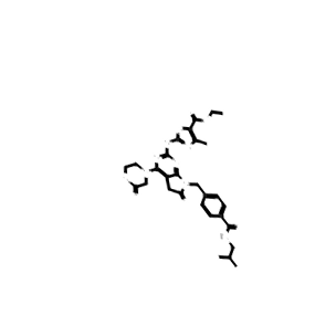 CCOC(=O)c1sc(Nc2nc(N3CCNC(=O)C3)c3c(n2)N(Cc2ccc(C(=O)NCC(C)C)cc2)C(=O)C3)nc1C